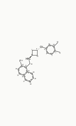 Cc1ccc(O[C@H]2C[C@H](NCc3c(F)ccc4cnccc34)C2)cc1C